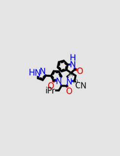 CC(C)CC(C(=O)N1C[C@]2(C[C@H]1C#N)C(=O)Nc1ccccc12)n1cccc(-c2cc[nH]n2)c1=O